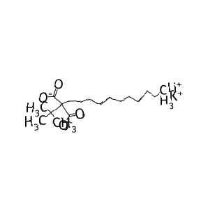 CCCCCCCCCCCC(C(=O)[O-])(C(=O)[O-])C(C)(C)C.[K+].[Li+]